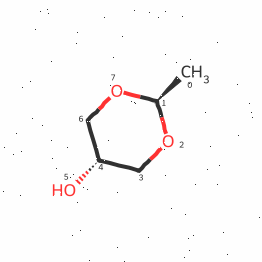 C[C@H]1OC[C@H](O)CO1